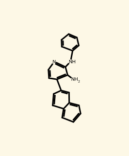 Nc1c(-c2ccc3ccccc3c2)ccnc1Nc1ccccc1